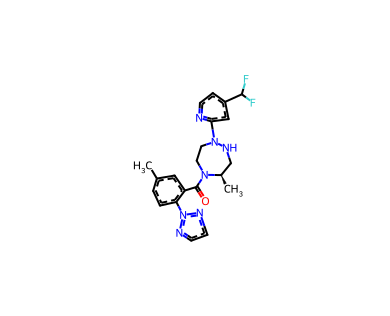 Cc1ccc(-n2nccn2)c(C(=O)N2CCN(c3cc(C(F)F)ccn3)NC[C@H]2C)c1